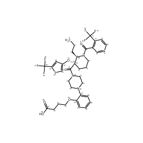 CCC[C@H]1N(C(=O)c2cnccc2C(F)(F)F)CCC[C@@]1(Oc1csc(C(F)(F)F)c1)C(=O)N1CCN(c2ccccc2OCCCC(=O)O)CC1